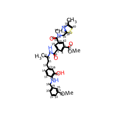 COC(=O)c1cc(C(=O)NC(C)CCc2ccc(NCc3cccc(OC)c3)c(O)c2)cc(C(=O)N(C)Cc2nc(C)cs2)c1